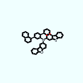 c1ccc(-c2ccc(-c3cccc4ccccc34)cc2N(c2ccc3c(c2)sc2ccccc23)c2ccc3oc4ccccc4c3c2)cc1